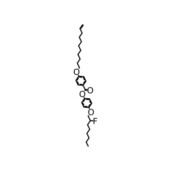 C=CCCCCCCCCCOc1ccc(C(=O)Oc2ccc(OCC(F)CCCCCC)cc2)cc1